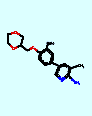 COc1cc(-c2cnc(N)c(C)c2)ccc1OCC1COCCO1